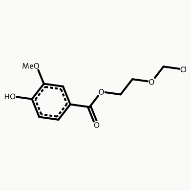 COc1cc(C(=O)OCCOCCl)ccc1O